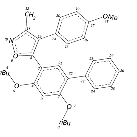 CCCCOc1cc(OCCCC)c(-c2onc(C)c2-c2ccc(OC)cc2)cc1-c1ccccc1